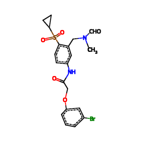 CN(C=O)Cc1cc(NC(=O)COc2cccc(Br)c2)ccc1S(=O)(=O)C1CC1